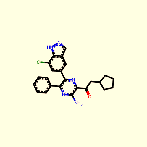 Nc1nc(-c2ccccc2)c(-c2cc(Cl)c3[nH]ncc3c2)nc1C(=O)CC1CCCC1